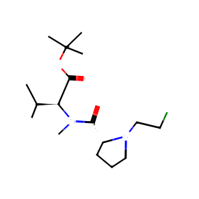 CC(C)[C@@H](C(=O)OC(C)(C)C)N(C)C(=O)[C@H]1CCCN1CCCl